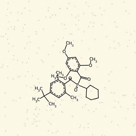 COc1cc(OC)c(C(=O)P(=O)(C(=O)c2c(C)cc(C(C)(C)C)cc2C)C2CCCCC2)c(OC)c1